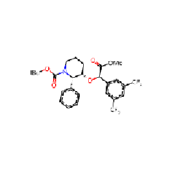 COC(=O)C(O[C@H]1CCCN(C(=O)OC(C)(C)C)[C@H]1c1ccccc1)c1cc(C(F)(F)F)cc(C(F)(F)F)c1